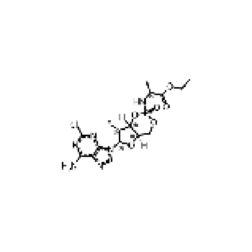 CCOC(=O)[C@H](C)N[P@@]1(=O)OC[C@H]2O[C@@H](n3cnc4c(N)nc(Cl)nc43)[C@@H](F)[C@@H]2O1